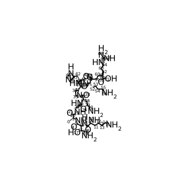 C[C@H](NC(=O)[C@@H](NC(=O)[C@@H](N)CCCCN)[C@@H](O)CN)C(=O)NCC(=O)N[C@H](CCCN)C(=O)N1CC[C@H]1C(=O)N[C@@H](Cc1cnc[nH]1)C(=O)N[C@@H](CCCCN)C(=O)CC/C(=C\CCNC(=N)N)C(=O)O